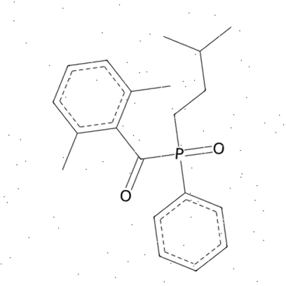 Cc1cccc(C)c1C(=O)P(=O)(CCC(C)C)c1ccccc1